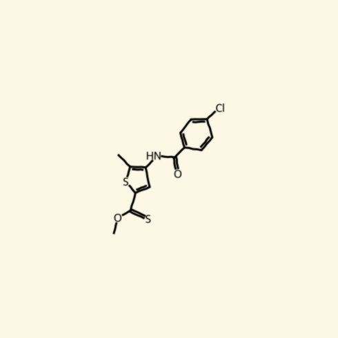 COC(=S)c1cc(NC(=O)c2ccc(Cl)cc2)c(C)s1